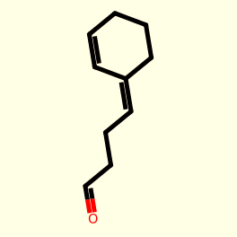 O=CCCC=C1C=CCCC1